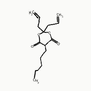 C=CCC1(CC=C)OC(=O)C(CCCCC)C(=O)O1